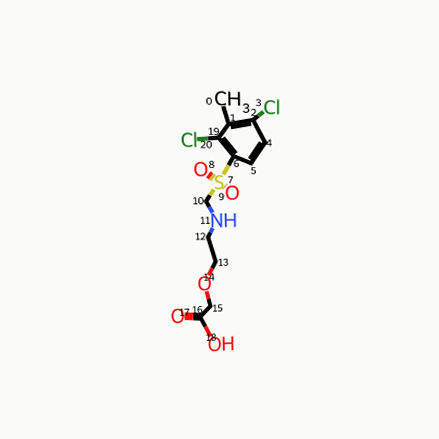 Cc1c(Cl)ccc(S(=O)(=O)CNCCOCC(=O)O)c1Cl